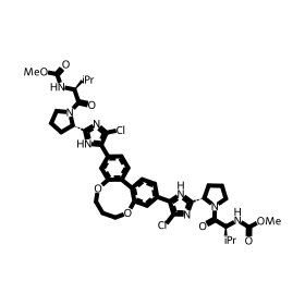 COC(=O)N[C@H](C(=O)N1CCC[C@H]1c1nc(Cl)c(-c2ccc3c(c2)OCCCOc2cc(-c4[nH]c([C@@H]5CCCN5C(=O)[C@@H](NC(=O)OC)C(C)C)nc4Cl)ccc2-3)[nH]1)C(C)C